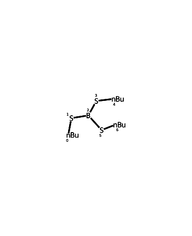 CCCCSB(SCCCC)SCCCC